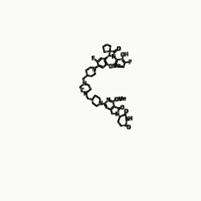 COc1cc(N2CCC(CN3CCN(CC4CCN(c5cc6c(c(OC)n5)C(=O)N([C@H]5CCC(=O)NC5=O)C6)CC4)CC3)CC2)c(F)cc1[C@@H]1N(c2cccc(F)c2O)C(=O)C12CCCC2